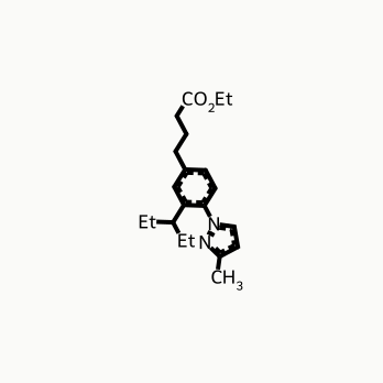 CCOC(=O)CCCc1ccc(-n2ccc(C)n2)c(C(CC)CC)c1